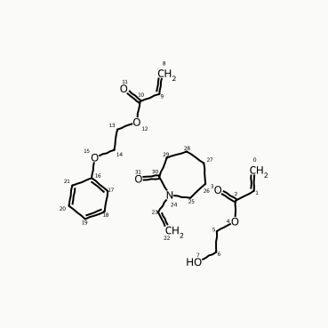 C=CC(=O)OCCO.C=CC(=O)OCCOc1ccccc1.C=CN1CCCCCC1=O